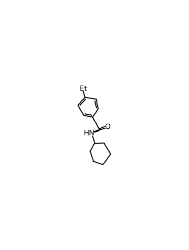 CCc1ccc(C(=O)NC2CCCCC2)cc1